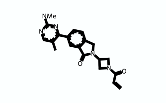 C=CC(=O)N1CC(N2Cc3ccc(-c4nc(NC)ncc4C)cc3C2=O)C1